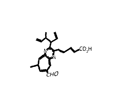 C=CC(C)C(C=C)c1nc2c(nc1CCCCC(=O)O)=CC(C=O)=CC(C)C=2